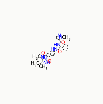 CNC(=O)C1(N2C[C@@H](C(C)C)NC2=O)Cc2ccc(NC(=O)[C@@H](NC(=O)c3ccnn3C)C3CCCCC3)cc2C1